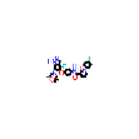 C[C@@H]1CN(c2cc3[nH]ncc3cc2Oc2ccc(NC(=O)c3cccn(-c4ccc(F)cc4)c3=O)cc2F)CC(C)(C)O1